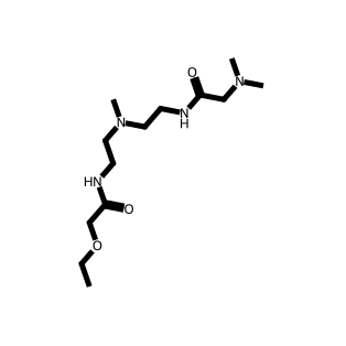 CCOCC(=O)NCCN(C)CCNC(=O)CN(C)C